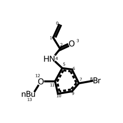 C=CC(=O)Nc1cc(Br)ccc1OCCCC